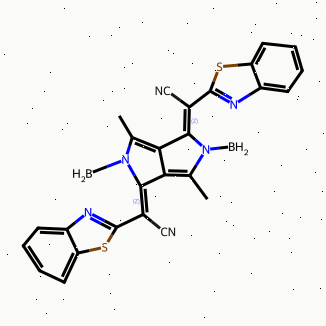 Bn1c(C)c2/c(=C(\C#N)c3nc4ccccc4s3)n(B)c(C)c2/c1=C(\C#N)c1nc2ccccc2s1